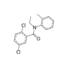 CCN(C(=O)c1cc(Cl)ccc1Cl)c1ccccc1C